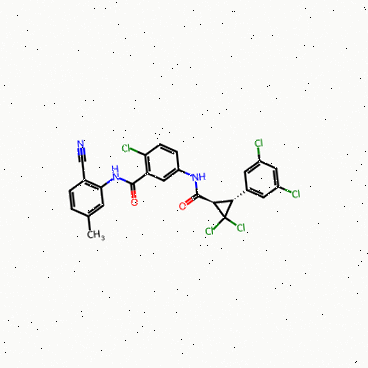 Cc1ccc(C#N)c(NC(=O)c2cc(NC(=O)[C@H]3[C@H](c4cc(Cl)cc(Cl)c4)C3(Cl)Cl)ccc2Cl)c1